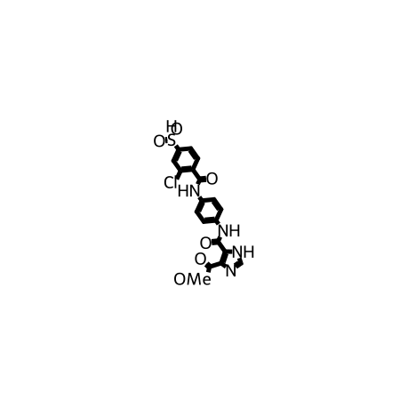 COC(=O)c1nc[nH]c1C(=O)Nc1ccc(NC(=O)c2ccc([SH](=O)=O)cc2Cl)cc1